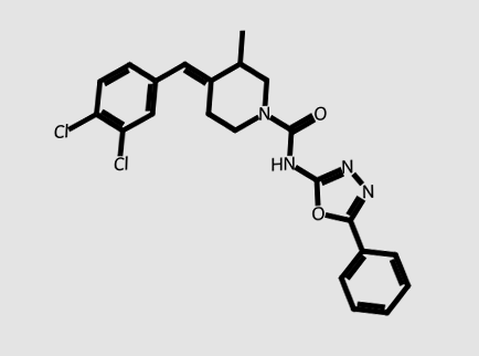 CC1CN(C(=O)Nc2nnc(-c3ccccc3)o2)CC/C1=C\c1ccc(Cl)c(Cl)c1